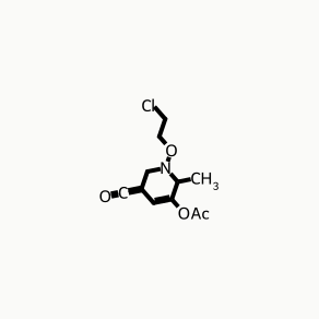 CC(=O)OC1=CC(=C=O)CN(OCCCl)C1C